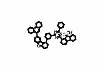 CC1(C)c2ccccc2-c2cccc(-c3nc(-c4ccccc4)nc(-c4cccc(-c5cccc6oc7ccc(-c8cc9ccccc9c9ccccc89)cc7c56)c4)n3)c21